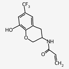 C=CC(=O)NC1COc2c(O)cc(C(F)(F)F)cc2C1